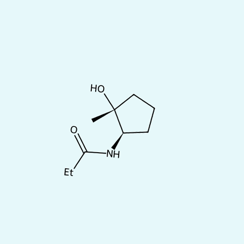 CCC(=O)N[C@@H]1CCC[C@@]1(C)O